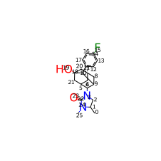 CC1CN(C2C3CC4CC2C(c2ccc(F)cc2)C(O)(C4)C3)C(=O)N1C